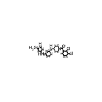 Cc1cc(Nc2ccnc(NC3CCN(C(=O)c4cccc(Cl)c4Cl)CC3)n2)n[nH]1